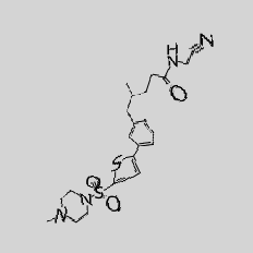 CC(CCC(=O)NCC#N)Cc1cccc(-c2ccc(S(=O)(=O)N3CCN(C)CC3)s2)c1